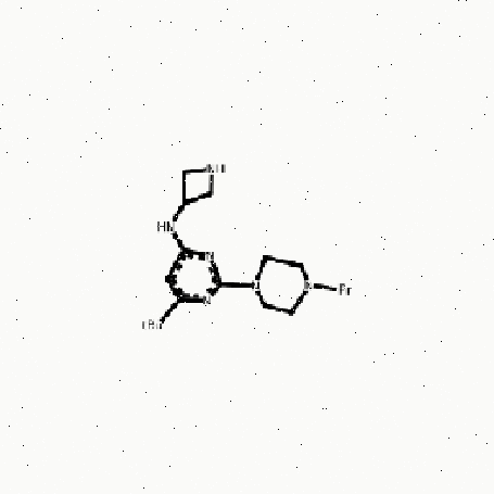 CC(C)N1CCN(c2nc(NC3CNC3)cc(C(C)(C)C)n2)CC1